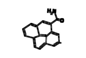 NC(=O)c1cc2cccc3ccc4c[c]cc1c4c32